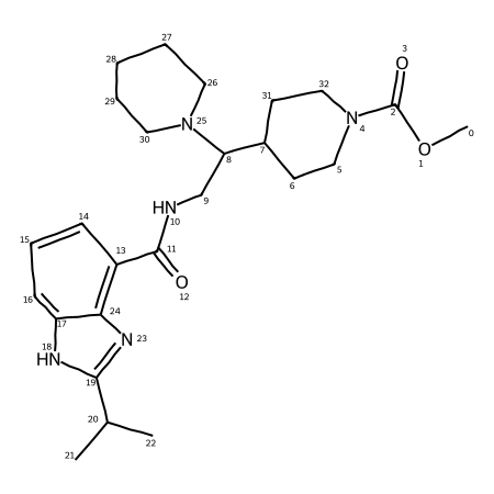 COC(=O)N1CCC(C(CNC(=O)c2cccc3[nH]c(C(C)C)nc23)N2CCCCC2)CC1